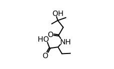 CCC(NC(=O)CC(C)(C)O)C(=O)O